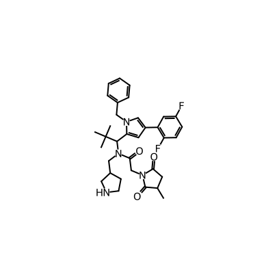 CC1CC(=O)N(CC(=O)N(CC2CCNC2)C(c2cc(-c3cc(F)ccc3F)cn2Cc2ccccc2)C(C)(C)C)C1=O